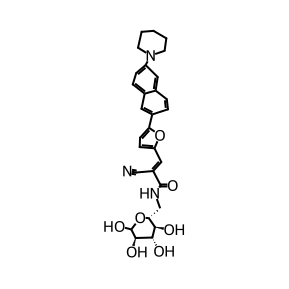 N#C/C(=C\c1ccc(-c2ccc3cc(N4CCCCC4)ccc3c2)o1)C(=O)NC[C@H]1OC(O)[C@H](O)[C@@H](O)[C@@H]1O